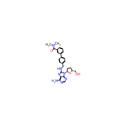 CN(C)C(=O)c1cccc(-c2ccc(CNc3nc4c(N)ncnc4n3[C@H]3CC[C@@H](CO)O3)cc2)c1